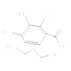 CC(=O)c1ccc(C)c(N)c1C.CCNCC